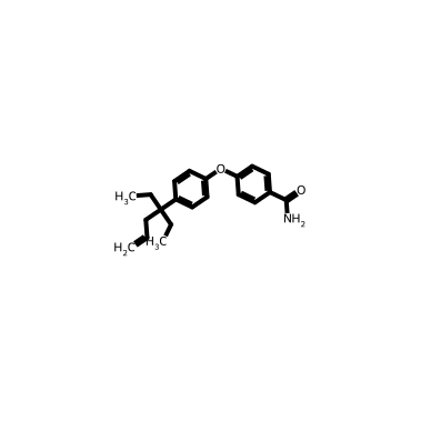 C=CCC(CC)(CC)c1ccc(Oc2ccc(C(N)=O)cc2)cc1